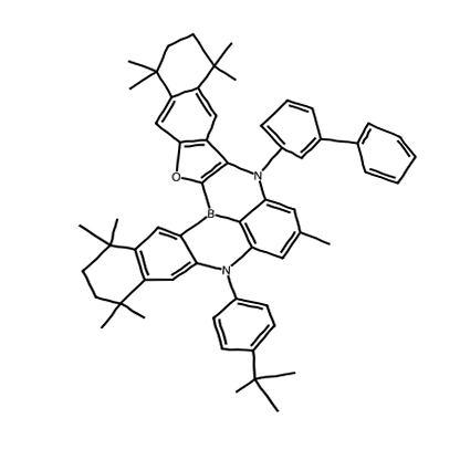 Cc1cc2c3c(c1)N(c1cccc(-c4ccccc4)c1)c1c(oc4cc5c(cc14)C(C)(C)CCC5(C)C)B3c1cc3c(cc1N2c1ccc(C(C)(C)C)cc1)C(C)(C)CCC3(C)C